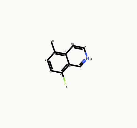 Cc1ccc(F)c2cnccc12